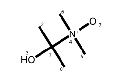 CC(C)(O)[N+](C)(C)[O-]